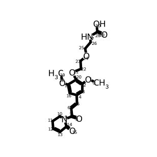 COc1cc(C=CC(=O)N2CCC=CC2=O)cc(OC)c1OCCOCCNC(=O)O